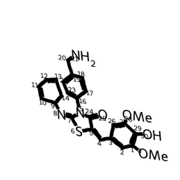 COc1cc(/C=C2/S/C(=N/C3C=CC=CC3)N(c3ccc(CN)cc3)C2=O)cc(OC)c1O